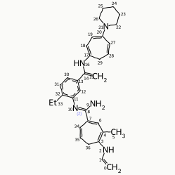 C=CNC1=C(C)C=C(/C(N)=N/c2cc(C(=C)NC3=CC=C(N4CCCCC4)C=CC3)ccc2CC)C=CC1